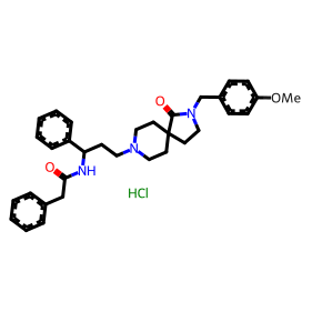 COc1ccc(CN2CCC3(CCN(CCC(NC(=O)Cc4ccccc4)c4ccccc4)CC3)C2=O)cc1.Cl